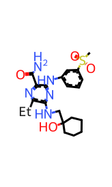 CCc1nc(C(N)=O)c(Nc2cccc(S(C)(=O)=O)c2)nc1NCC1(O)CCCCC1